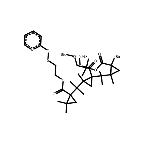 CCCCCCOC(=O)C1(C(C)(C)C2(C)CC2(C(=O)OC(C)(C)COC(C)(C)C)C(C)(C)C)CC1(C)C(C)(C)C1(C(=O)OCCSSc2ccccn2)CC1(C)C